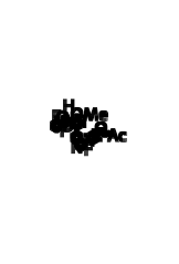 COc1ncc(-c2ccc3ncc(F)c(N4CCN(C(=O)C=CC(C)=O)CC4)c3c2)cc1NS(=O)(=O)c1c(F)cccc1F